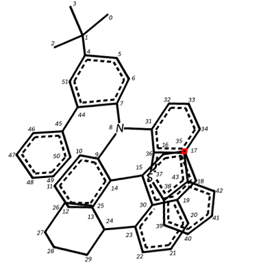 CC(C)(C)c1ccc(N(c2ccccc2-c2cccc3cccc(C4CCCCC4)c23)c2cccc3c2sc2ccccc23)c(-c2ccccc2)c1